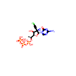 C[C@H](OP(=O)(O)OP(=O)(O)OP(=O)(O)O)[C@H]1O[C@@H](n2cnc(N)nc2=O)C(N)(C#CCl)C1O